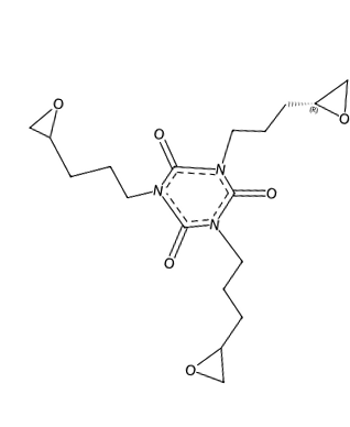 O=c1n(CCCC2CO2)c(=O)n(CCC[C@@H]2CO2)c(=O)n1CCCC1CO1